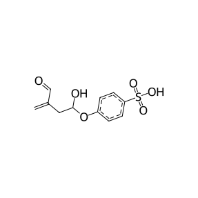 C=C(C=O)CC(O)Oc1ccc(S(=O)(=O)O)cc1